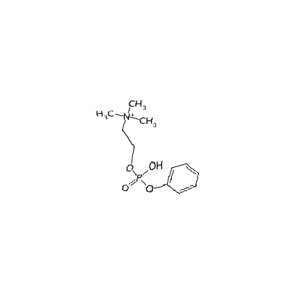 C[N+](C)(C)CCOP(=O)(O)Oc1ccccc1